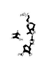 Cc1c2c(nn1-c1nnc(-c3ccc(OC(C)C)c(Cl)c3)s1)CCN(CCC(=O)O)C2.O=C(O)C(F)(F)F